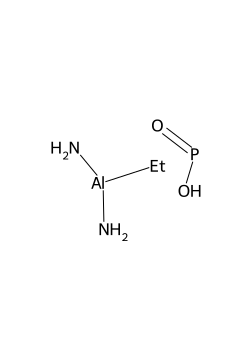 C[CH2][Al]([NH2])[NH2].O=PO